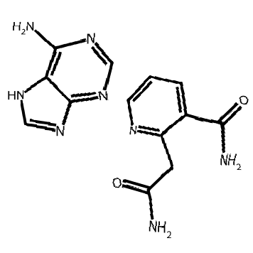 NC(=O)Cc1ncccc1C(N)=O.Nc1ncnc2nc[nH]c12